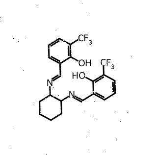 Oc1c(C=NC2CCCCC2N=Cc2cccc(C(F)(F)F)c2O)cccc1C(F)(F)F